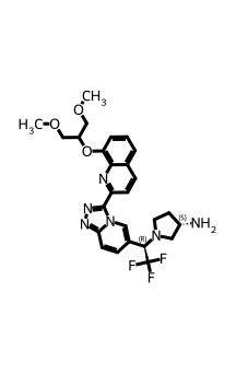 COCC(COC)Oc1cccc2ccc(-c3nnc4ccc([C@@H](N5CC[C@H](N)C5)C(F)(F)F)cn34)nc12